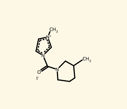 CC1CCCN(C(=O)n2cc[n+](C)c2)C1.[I-]